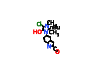 CCCCC1(C)N(C)C(Cl)=C(O)N1c1ccc2c(c1)=CC(=C=O)N=2